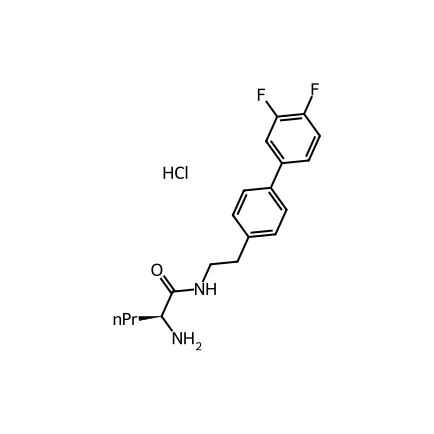 CCC[C@H](N)C(=O)NCCc1ccc(-c2ccc(F)c(F)c2)cc1.Cl